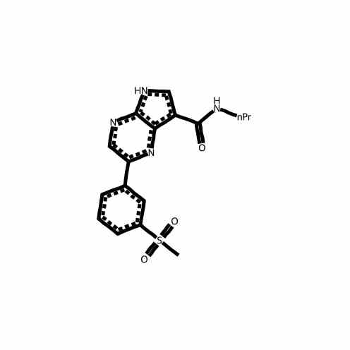 CCCNC(=O)c1c[nH]c2ncc(-c3cccc(S(C)(=O)=O)c3)nc12